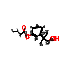 CCCC(=O)Oc1cccc(C(C)(C)CO)c1